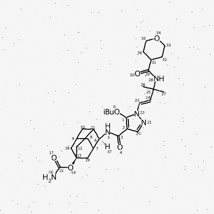 CC(C)COc1c(C(=O)N[C@H]2C3CC4CC2C[C@@](OC(N)=O)(C4)C3)cnn1/C=C/C(C)(C)NC(=O)C1CCOCC1